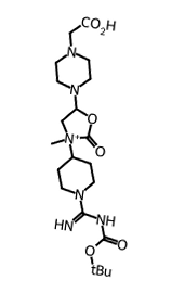 CC(C)(C)OC(=O)NC(=N)N1CCC([N+]2(C)CC(N3CCN(CC(=O)O)CC3)OC2=O)CC1